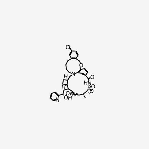 CO[C@@]1(C[C@@H](O)c2ccccn2)/C=C/C[C@H](C)[C@@H](C)S(=O)(=O)NC(=O)c2ccc3c(c2)N(CCCCc2cc(Cl)ccc2CO3)C[C@@H]2CC[C@H]21